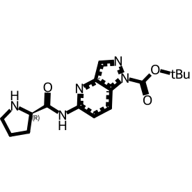 CC(C)(C)OC(=O)n1ncc2nc(NC(=O)[C@H]3CCCN3)ccc21